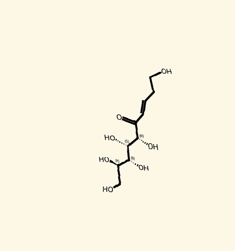 O=C(C=CCCO)[C@H](O)[C@@H](O)[C@H](O)[C@H](O)CO